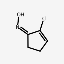 ON=C1CCC=C1Cl